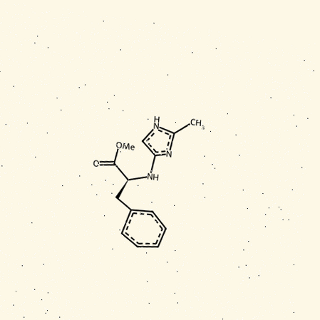 COC(=O)[C@H](Cc1ccccc1)Nc1c[nH]c(C)n1